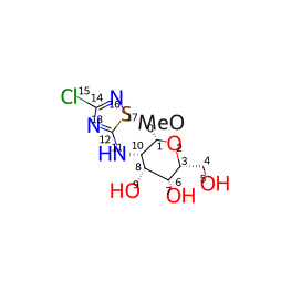 CO[C@@H]1O[C@H](CO)[C@H](O)[C@H](O)[C@@H]1Nc1nc(Cl)ns1